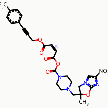 CC1(CN2CCN(C(=O)OC(=O)/C=C\C(=O)OCC#Cc3ccc(C(F)(F)F)cc3)CC2)Cn2cc([N+](=O)[O-])nc2O1